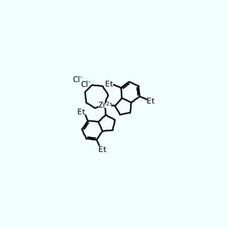 CCC1=CC=C(CC)C2C1CC[CH]2[Zr+2]1([CH]2CCC3C(CC)=CC=C(CC)C32)[CH2]CCCC[CH2]1.[Cl-].[Cl-]